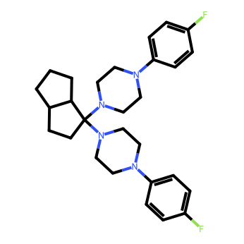 Fc1ccc(N2CCN(C3(N4CCN(c5ccc(F)cc5)CC4)CCC4CCCC43)CC2)cc1